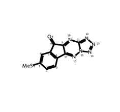 CSc1ccc2c(c1)C(=O)c1nc3nnnn3nc1-2